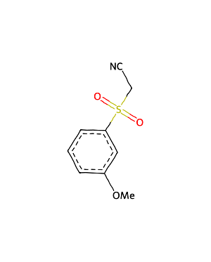 COc1cccc(S(=O)(=O)CC#N)c1